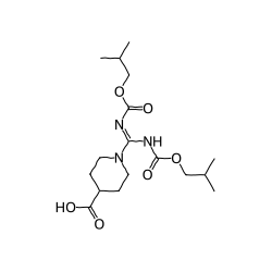 CC(C)COC(=O)N=C(NC(=O)OCC(C)C)N1CCC(C(=O)O)CC1